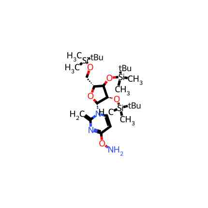 C=C1N=C(ON)C=CN1[C@@H]1O[C@H](CO[Si](C)(C)C(C)(C)C)C(O[Si](C)(C)C(C)(C)C)[C@@H]1O[Si](C)(C)C(C)(C)C